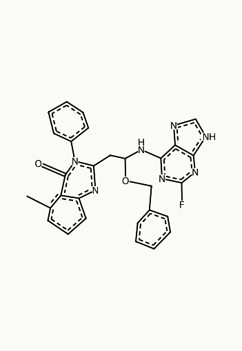 Cc1cccc2nc(CC(Nc3nc(F)nc4[nH]cnc34)OCc3ccccc3)n(-c3ccccc3)c(=O)c12